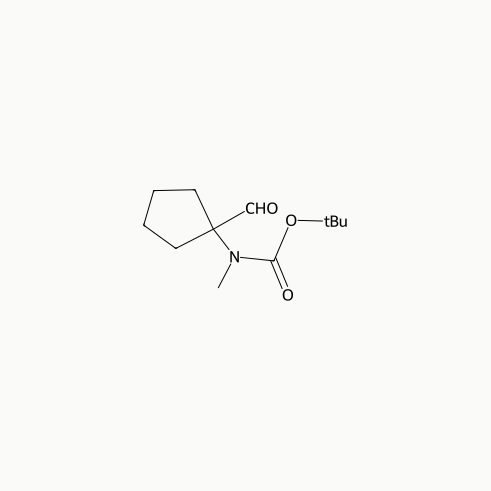 CN(C(=O)OC(C)(C)C)C1(C=O)CCCC1